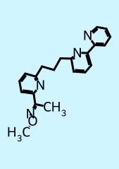 CO/N=C(\C)c1cccc(CCCc2cccc(-c3ccccn3)n2)n1